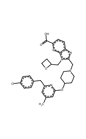 Cc1cc(Cc2ccc(Cl)cc2)nc(OC2CCN(Cc3nc4ccc(C(=O)O)nc4n3CC3CCO3)CC2)c1